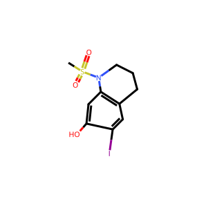 CS(=O)(=O)N1CCCc2cc(I)c(O)cc21